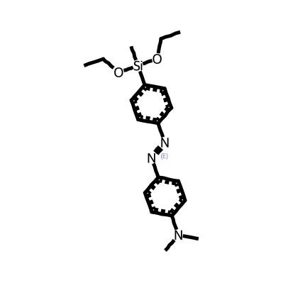 CCO[Si](C)(OCC)c1ccc(/N=N/c2ccc(N(C)C)cc2)cc1